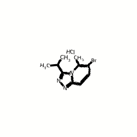 Cc1c(Br)ccc2nnc(C(C)C)n12.Cl